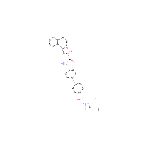 CC(C)[C@H](NS(=O)(=O)c1ccc(-c2ccc(NC(=O)c3cc4c(ccc5ccccc54)o3)cc2)cc1)C(=O)O